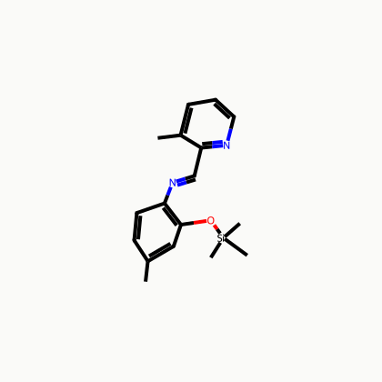 Cc1ccc(N=Cc2ncccc2C)c(O[Si](C)(C)C)c1